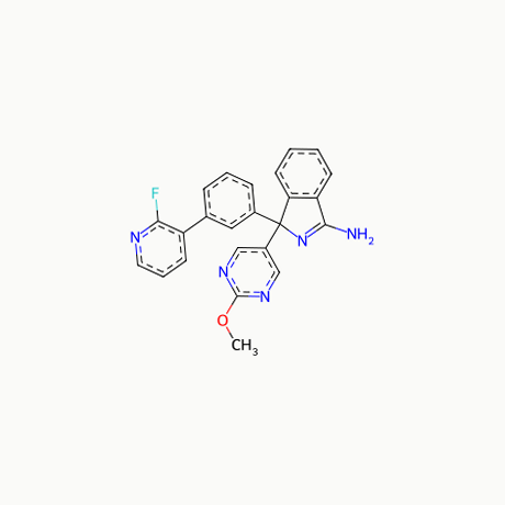 COc1ncc(C2(c3cccc(-c4cccnc4F)c3)N=C(N)c3ccccc32)cn1